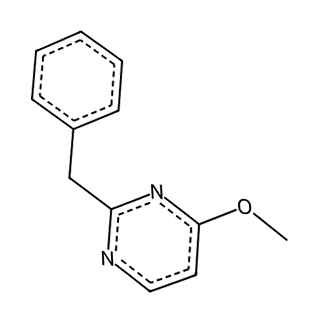 COc1ccnc(Cc2ccccc2)n1